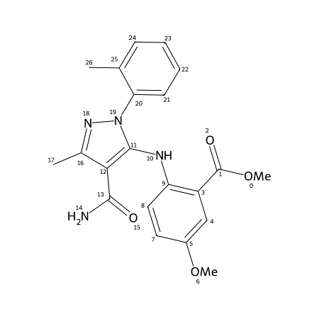 COC(=O)c1cc(OC)ccc1Nc1c(C(N)=O)c(C)nn1-c1ccccc1C